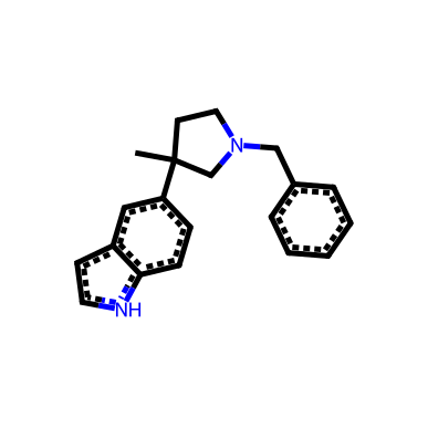 CC1(c2ccc3[nH]ccc3c2)CCN(Cc2ccccc2)C1